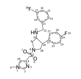 Cn1cnc(S(=O)(=O)N2CC(NCc3cccc(F)c3)C(c3ccc(F)cc3)C2)c1